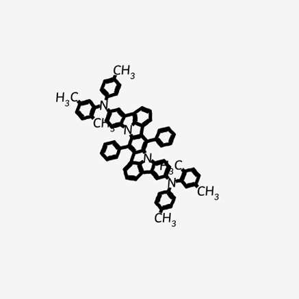 Cc1ccc(N(c2ccc3c(c2)c2cccc4c5c(-c6ccccc6)c6c(c(-c7ccccc7)c5n3c24)c2cccc3c4cc(N(c5ccc(C)cc5)c5cc(C)ccc5C)ccc4n6c32)c2cc(C)ccc2C)cc1